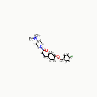 CCCN(CC)C1CCN(C(=O)/C=C\c2ccc(OCc3ccc(F)cc3)cc2)CC1